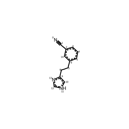 N#Cc1cccc(CCc2c[nH]cn2)c1